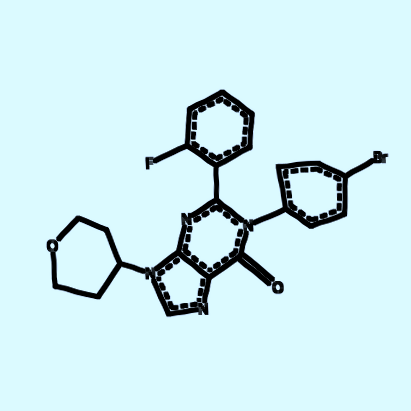 O=c1c2ncn(C3CCOCC3)c2nc(-c2ccccc2F)n1-c1ccc(Br)cc1